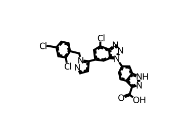 O=C(O)c1n[nH]c2cc(-n3nnc4c(Cl)cc(-c5ccnn5Cc5ccc(Cl)cc5Cl)cc43)ccc12